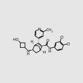 Cc1cc([C@H]2[C@H]3O[C@H](C[C@H]3NC3CC(O)C3)[C@@H]2C(=O)Nc2ccc(Cl)c(Cl)c2)ccn1